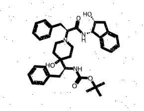 CC(C)(C)OC(=O)N[C@@H](Cc1ccccc1)C1(O)CCN([C@@H](Cc2ccccc2)C(=O)N[C@H]2c3ccccc3C[C@H]2O)CC1